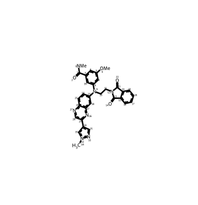 CNC(=O)c1cc(OC)cc(N(CCN2C(=O)c3ccccc3C2=O)c2ccc3ncc(-c4cnn(C)c4)nc3c2)c1